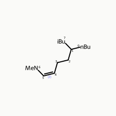 CCCCC(CC/C=C\NC)C(C)CC